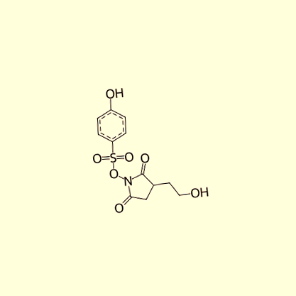 O=C1CC(CCO)C(=O)N1OS(=O)(=O)c1ccc(O)cc1